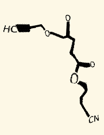 C#CCOC(=O)CCC(=O)OCCC#N